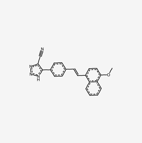 COc1ccc(C=Cc2ccc(-c3[nH]nnc3C#N)cc2)c2ccccc12